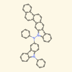 c1ccc(N(c2ccc3c(c2)c2ccccc2n3-c2ccccc2)n2c3ccccc3c3cc4ccc5c6ccccc6ccc5c4cc32)cc1